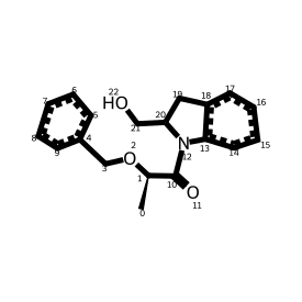 C[C@@H](OCc1ccccc1)C(=O)N1c2ccccc2CC1CO